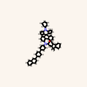 CC1(C)c2ccccc2-c2ccc(N(c3ccc(-c4ccc(-c5ccc6ccccc6c5)cc4)cc3)c3cccc4c3-c3ccccc3C43c4ccccc4N(c4ccccc4)c4ccccc43)cc21